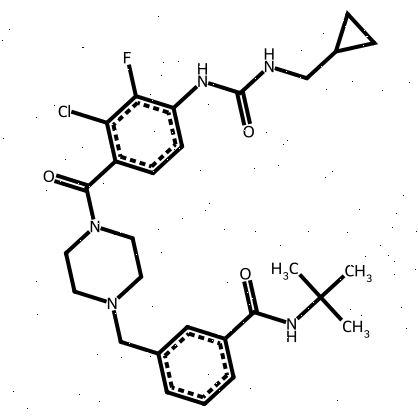 CC(C)(C)NC(=O)c1cccc(CN2CCN(C(=O)c3ccc(NC(=O)NCC4CC4)c(F)c3Cl)CC2)c1